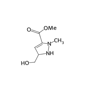 COC(=O)C1=CC(CO)NN1C